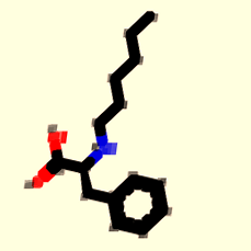 CCCCCCN[C@@H](Cc1ccccc1)C(=O)O